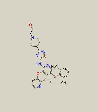 Cc1cccc(C)c1Sc1cnc(Nc2nc(C3CCN(CC=O)CC3)ns2)c(Oc2cccnc2C)c1